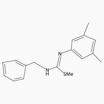 CS/C(=N\c1cc(C)cc(C)c1)NCc1ccccc1